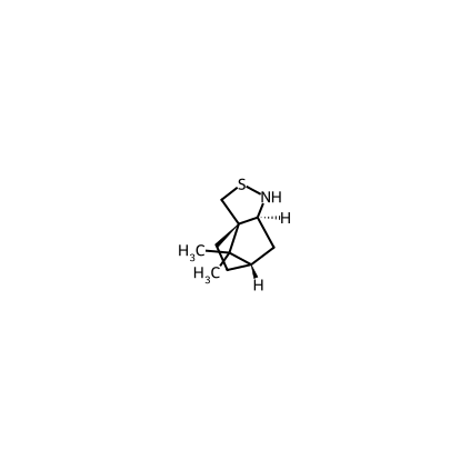 CC1(C)[C@H]2CC[C@]13CSN[C@H]3C2